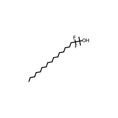 CCCCCCCCCCCCCCCCC(F)(F)C(C)(C)O